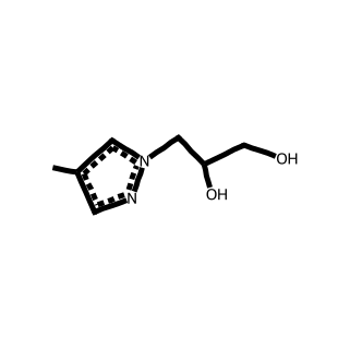 Cc1cnn(CC(O)CO)c1